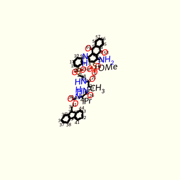 COOS(=O)(=O)c1cc(Nc2cccc(S(=O)(=O)CCNC(=O)C(C)NC(=O)C(NC(=O)OCC3c4ccccc4-c4ccccc43)C(C)C)c2)c2c(c1N)C(=O)c1ccccc1C2=O